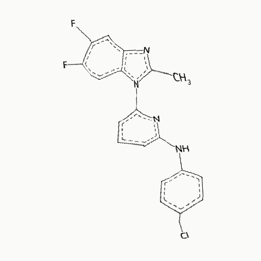 Cc1nc2cc(F)c(F)cc2n1-c1cccc(Nc2ccc(Cl)cc2)n1